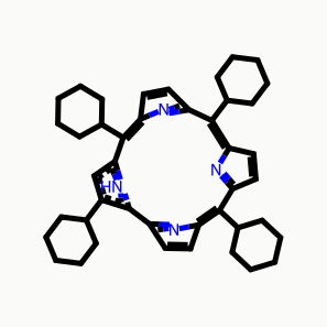 C1=CC2=C(C3CCCCC3)C3=NC(=C(C4CCCCC4)c4cc(C5CCCCC5)c([nH]4)C4=NC(=C(C5CCCCC5)C1=N2)C=C4)C=C3